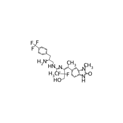 C/C(=N\C(=C(/C)c1ccc2[nH]c(=O)n(C)c2c1)C(F)(F)CO)NC[C@@H](N)Cc1ccc(C(F)(F)F)cc1